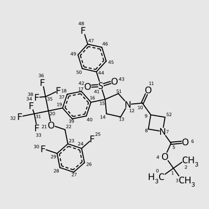 CC(C)(C)OC(=O)N1CC(C(=O)N2CCC(c3ccc(C(OCc4c(F)cccc4F)(C(F)(F)F)C(F)(F)F)cc3)(S(=O)(=O)c3ccc(F)cc3)C2)C1